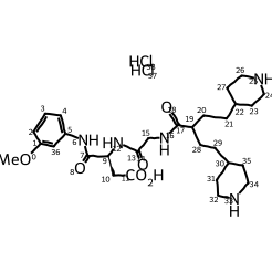 COc1cccc(NC(=O)[C@H](CC(=O)O)NC(=O)CNC(=O)C(CCC2CCNCC2)CCC2CCNCC2)c1.Cl.Cl